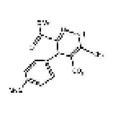 COC(=O)C1=NNC(C)=C(C(=O)O)C1c1ccc(OC)cc1